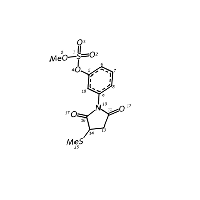 COS(=O)(=O)Oc1cccc(N2C(=O)CC(SC)C2=O)c1